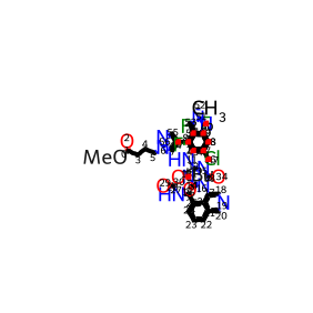 COC(=O)CCCn1cc(-c2c(Nc3nc(=O)n(-c4cncc5cccc(CNC(=O)OC(C)(C)C)c45)c(=O)n3Cc3cc(F)c(F)c(F)c3)c(Cl)cc3nn(C)cc23)cn1